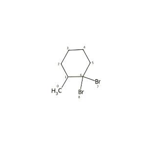 CC1CCCCC1(Br)Br